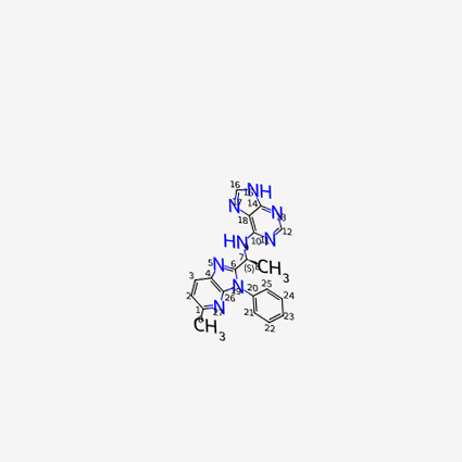 Cc1ccc2nc([C@H](C)Nc3ncnc4[nH]cnc34)n(-c3ccccc3)c2n1